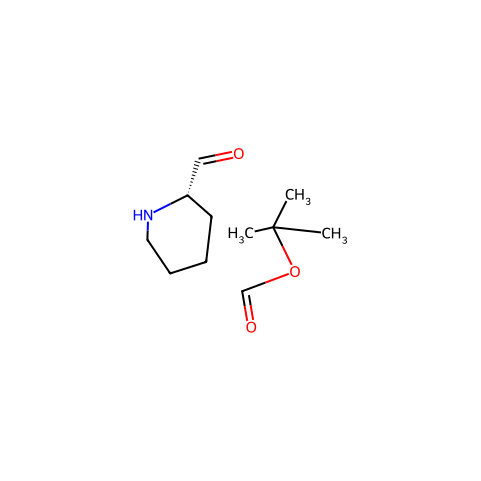 CC(C)(C)OC=O.O=C[C@@H]1CCCCN1